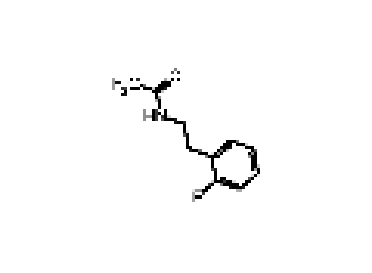 O=C(NCCc1ccccc1F)C(F)(F)F